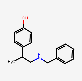 CC(CNCc1ccccc1)c1ccc(O)cc1